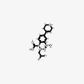 O=C(O)N(NCC(F)F)c1ccc(C2=CCOCC2)cc1[N+](=O)[O-]